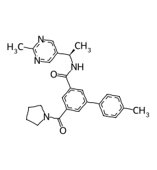 Cc1ccc(-c2cc(C(=O)N[C@H](C)c3cnc(C)nc3)cc(C(=O)N3CCCC3)c2)cc1